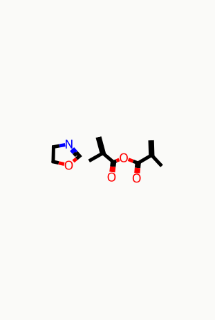 C1=NCCO1.C=C(C)C(=O)OC(=O)C(=C)C